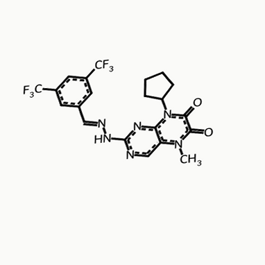 Cn1c(=O)c(=O)n(C2CCCC2)c2nc(NN=Cc3cc(C(F)(F)F)cc(C(F)(F)F)c3)ncc21